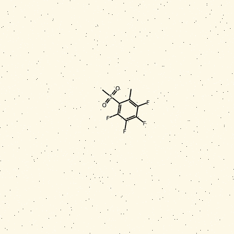 Cc1c(F)c(F)c(F)c(F)c1S(C)(=O)=O